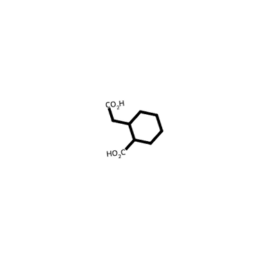 O=C(O)CC1CCCCC1C(=O)O